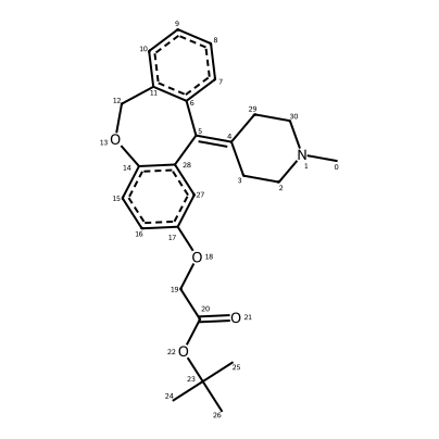 CN1CCC(=C2c3ccccc3COc3ccc(OCC(=O)OC(C)(C)C)cc32)CC1